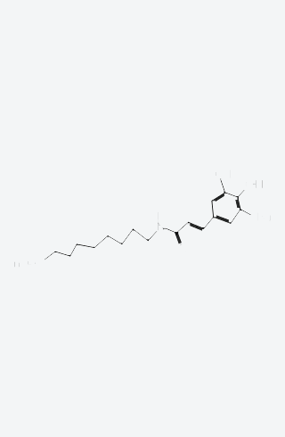 CCCCCCCCCCCCCCCCCCNC(=O)C=Cc1cc(C)c(O)c(C(C)(C)C)c1